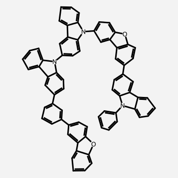 c1ccc(-n2c3ccccc3c3cc(-c4ccc5oc6ccc(-n7c8ccccc8c8cc(-n9c%10ccccc%10c%10cc(-c%11cccc(-c%12ccc%13oc%14ccccc%14c%13c%12)c%11)ccc%109)ccc87)cc6c5c4)ccc32)cc1